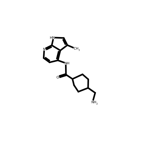 Cc1c[nH]c2nccc(NC(=O)C3CCC(CN)CC3)c12